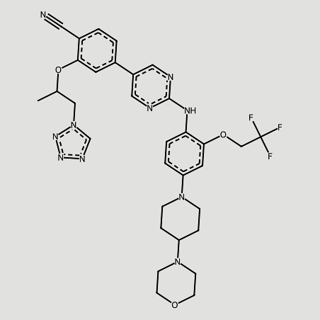 CC(Cn1cnnn1)Oc1cc(-c2cnc(Nc3ccc(N4CCC(N5CCOCC5)CC4)cc3OCC(F)(F)F)nc2)ccc1C#N